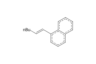 CCCCC=Cc1cccc2ccccc12